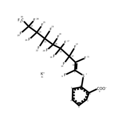 O=C([O-])c1ccccc1SC(F)=C(F)C(F)(F)C(F)(F)C(F)(F)C(F)(F)C(F)(F)C(F)(F)C(F)(F)F.[K+]